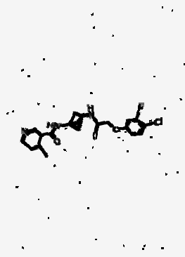 CC1CCN=CC1C(=O)NC12CC(NC(=O)COc3ccc(Cl)c(F)c3)(C1)C2